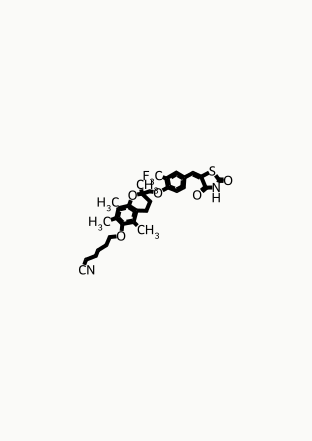 Cc1c(C)c2c(c(C)c1OCCCCCC#N)CCC(C)(COc1ccc(C=C3SC(=O)NC3=O)cc1C(F)(F)F)O2